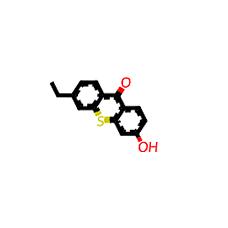 CCc1ccc2c(=O)c3ccc(O)cc3sc2c1